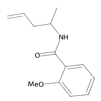 C=CCC(C)NC(=O)c1ccccc1OC